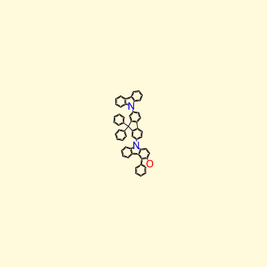 c1ccc(C2(c3ccccc3)c3cc(-n4c5ccccc5c5ccccc54)ccc3-c3ccc(-n4c5ccccc5c5c6c(ccc54)oc4ccccc46)cc32)cc1